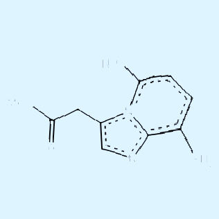 COC(=O)Cc1cnc2c(P)ccc(C)n12